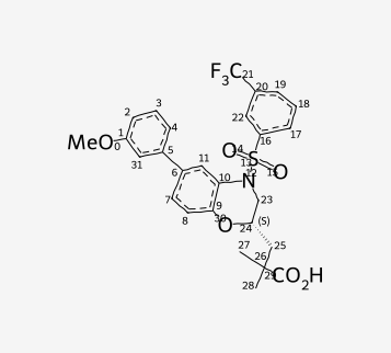 COc1cccc(-c2ccc3c(c2)N(S(=O)(=O)c2cccc(C(F)(F)F)c2)C[C@H](CC(C)(C)C(=O)O)O3)c1